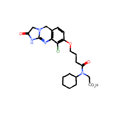 O=C(O)CN(C(=O)CCCOc1ccc2c(c1Cl)N=C1NC(=O)CN1C2)C1CCCCC1